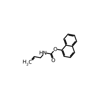 C=CCNC(=O)Oc1cccc2ccccc12